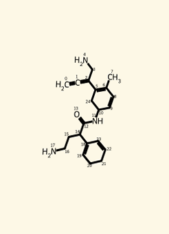 C=C=C(CN)C1=C(C)C=CC(NC(=O)C(CCN)C2=CCCC=C2)C1